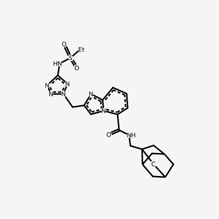 CCS(=O)(=O)Nc1nnn(Cc2cn3c(C(=O)NCC45CC6CC(CC4C6)C5)cccc3n2)n1